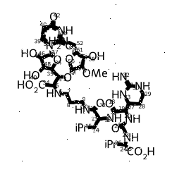 CO[C@H]1[C@H](OC(C(NCCCNC(=O)C(CC(C)C)NC(=O)C(NC(=O)NC(C(=O)O)C(C)C)C2CCNC(=N)N2)C(=O)O)C2O[C@@H](n3ccc(=O)[nH]c3=O)C(O)C2O)O[C@H](CN)[C@H]1O